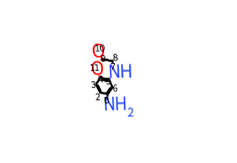 Nc1ccc2c(c1)NCC(=O)O2